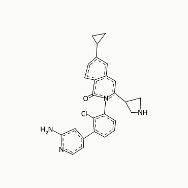 Nc1cc(-c2cccc(-n3c(C4CNC4)cc4cc(C5CC5)ccc4c3=O)c2Cl)ccn1